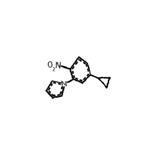 O=[N+]([O-])c1ccc(C2CC2)cc1-n1cccc1